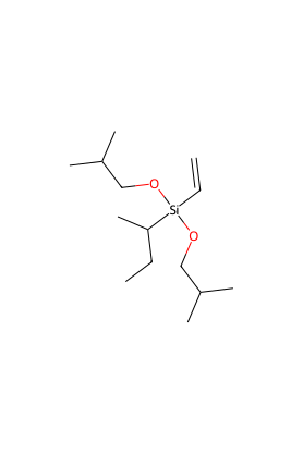 C=C[Si](OCC(C)C)(OCC(C)C)C(C)CC